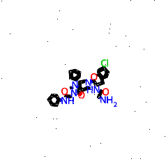 NCC(=O)NC(Cc1ccc(Cl)cc1)C(=O)N1CCC2(CC1)C(=O)N(CC(=O)NC1CCCCC1)CN2c1ccccc1